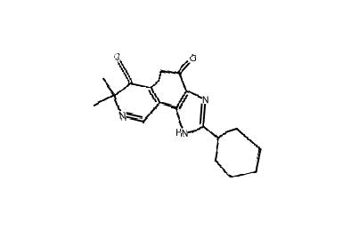 CC1(C)N=CC2=C(CC(=O)c3nc(C4CCCCC4)[nH]c32)C1=O